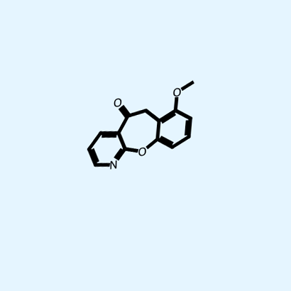 COc1cccc2c1CC(=O)c1cccnc1O2